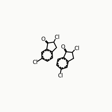 O=C1c2cc(Cl)ccc2CC1Cl.O=C1c2ccc(Cl)cc2CC1Cl